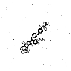 CC[C@@]1(O)C(=O)OCc2c1cc1n(c2=O)Cc2c-1nc1cc(F)c(OC)cc1c2CN1CC[N+](C)(Cc2ccc(NC(=O)C(C)N)cc2)CC1